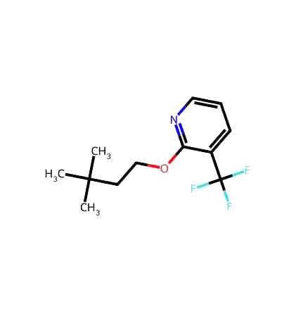 CC(C)(C)CCOc1ncccc1C(F)(F)F